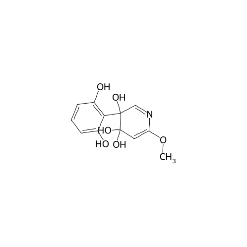 COC1=CC(O)(O)C(O)(c2c(O)cccc2O)C=N1